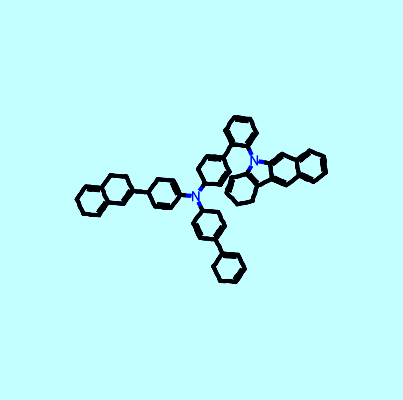 C1=CCCC(C2=CCC(N(C3=CCC(C4=CC5=CCCC=C5CC4)C=C3)C3C=CC(c4ccccc4-n4c5c(c6cc7ccccc7cc64)CCC=C5)=CC3)C=C2)=C1